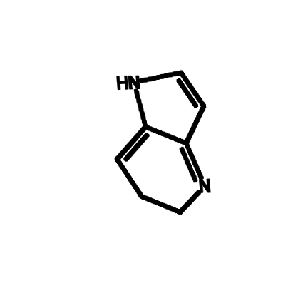 C1=c2[nH]ccc2=NCC1